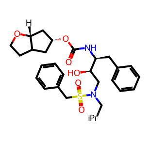 CC(C)CN(C[C@@H](O)[C@H](Cc1ccccc1)NC(=O)O[C@@H]1CC2CCO[C@@H]2C1)S(=O)(=O)Cc1ccccc1